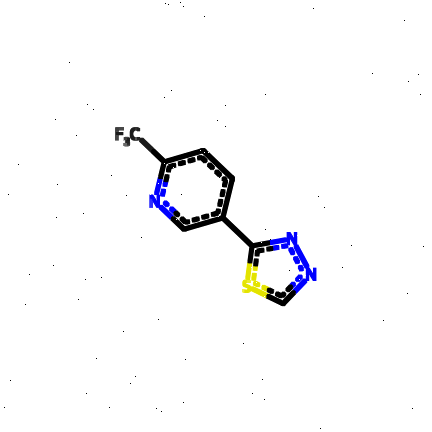 FC(F)(F)c1ccc(-c2nncs2)cn1